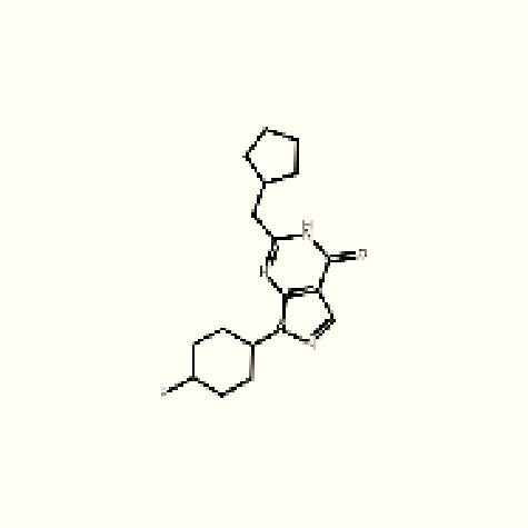 O=c1[nH]c(CC2CCCC2)nc2c1cnn2C1CCC(F)CC1